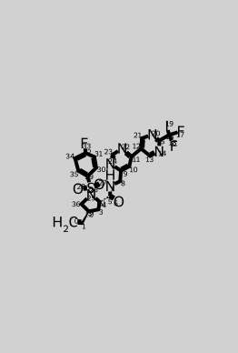 C=C[C@@H]1C[C@@H](C(=O)NCc2cc(-c3cnc(C(F)(F)I)nc3)ncn2)N(S(=O)(=O)c2ccc(F)cc2)C1